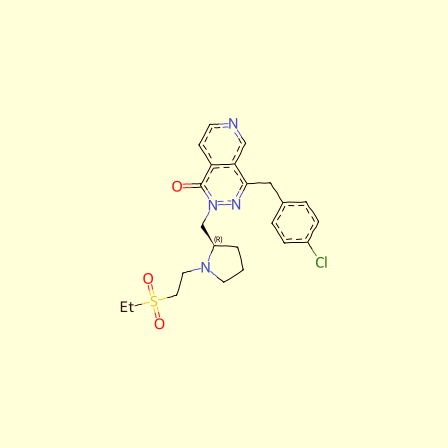 CCS(=O)(=O)CCN1CCC[C@@H]1Cn1nc(Cc2ccc(Cl)cc2)c2cnccc2c1=O